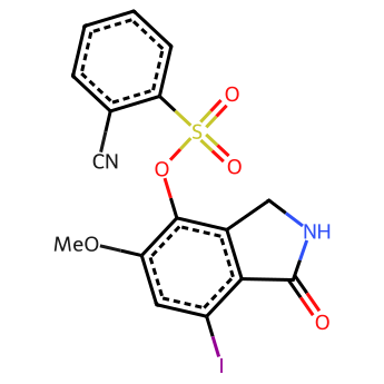 COc1cc(I)c2c(c1OS(=O)(=O)c1ccccc1C#N)CNC2=O